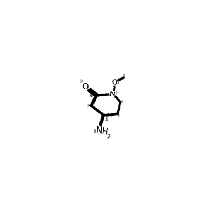 CON1CCC(N)CC1=O